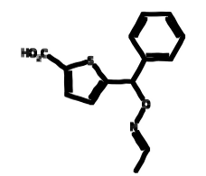 C/C=N/OC(c1ccccc1)c1ccc(C(=O)O)s1